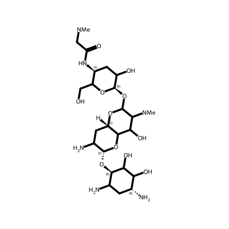 CNCC(=O)N[C@H]1CC(O)[C@@H](OC2O[C@H]3CC(N)[C@@H](O[C@@H]4C(N)C[C@@H](N)C(O)C4O)OC3C(O)C2NC)OC1CO